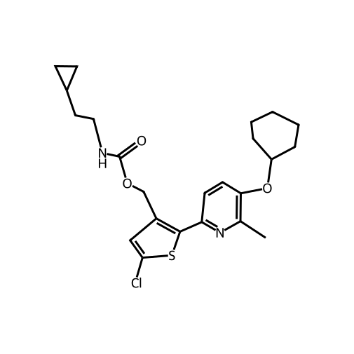 Cc1nc(-c2sc(Cl)cc2COC(=O)NCCC2CC2)ccc1OC1CCCCC1